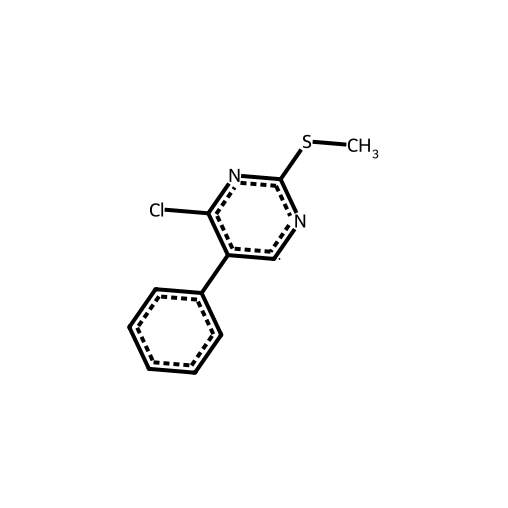 CSc1n[c]c(-c2ccccc2)c(Cl)n1